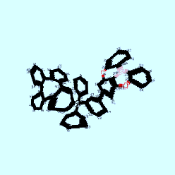 c1ccc([Si](c2ccccc2)(c2cccc(-c3cc4c5c(c3)Oc3ccccc3B5c3ccccc3O4)c2)c2ccc3c(c2)-c2ccccc2-c2ccccc2-c2ccccc2-3)cc1